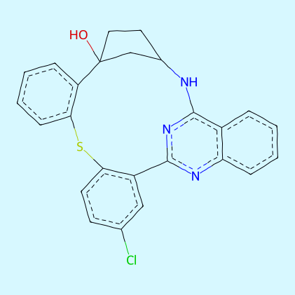 OC12CCC(C1)Nc1nc(nc3ccccc13)-c1cc(Cl)ccc1Sc1ccccc12